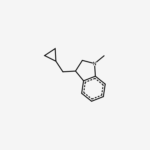 CN1CC(CC2CC2)c2ccccc21